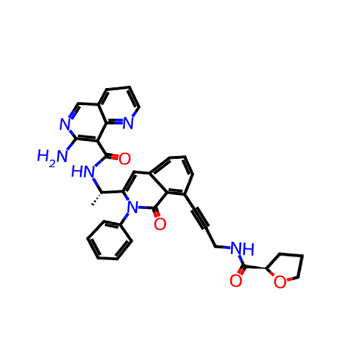 C[C@H](NC(=O)c1c(N)ncc2cccnc12)c1cc2cccc(C#CCNC(=O)[C@H]3CCCO3)c2c(=O)n1-c1ccccc1